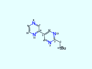 CC(C)(C)Cc1ncc(-c2cnccn2)cn1